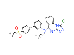 CCN(c1cccc(-c2ccc(S(C)(=O)=O)cc2)c1)c1nc2nnc(Cl)n2c2ccccc12